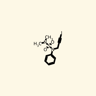 CN(C)S(=O)(=O)N(CC#CI)c1ccccc1